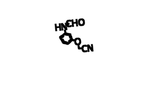 N#CCOc1cccc(NC=O)c1